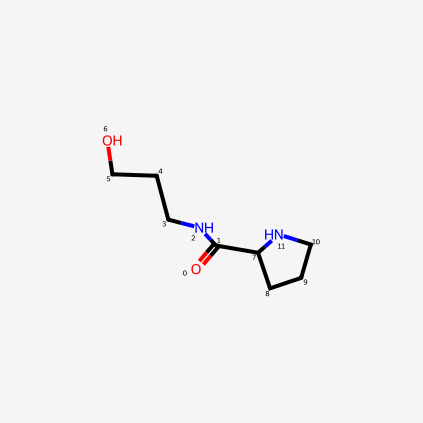 O=C(NCCCO)C1CCCN1